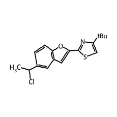 CC(Cl)c1ccc2oc(-c3nc(C(C)(C)C)cs3)cc2c1